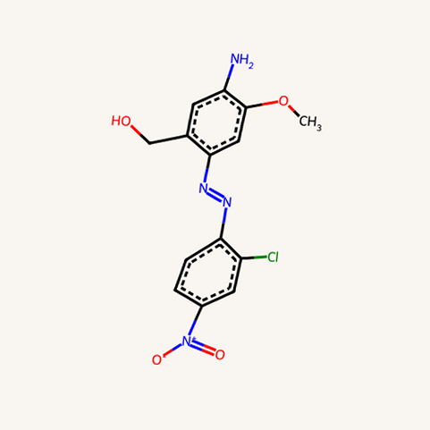 COc1cc(N=Nc2ccc([N+](=O)[O-])cc2Cl)c(CO)cc1N